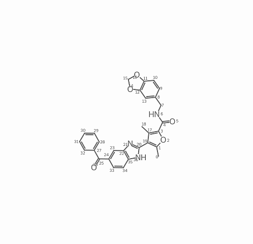 Cc1oc(C(=O)NCc2ccc3c(c2)OCO3)c(C)c1-c1nc2cc(C(=O)c3ccccc3)ccc2[nH]1